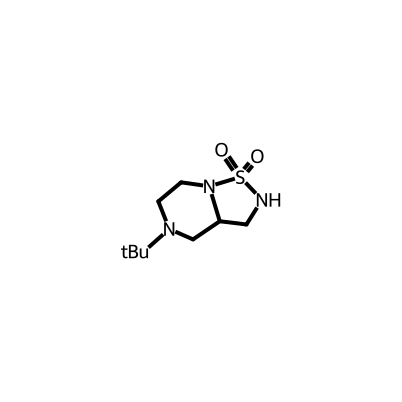 CC(C)(C)N1CCN2C(CNS2(=O)=O)C1